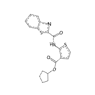 O=C(Nc1sccc1C(=O)OC1CCCC1)c1nc2ccccc2s1